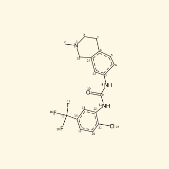 CN1CCc2ccc(NC(=O)Nc3cc(C(F)(F)F)ccc3Cl)cc2C1